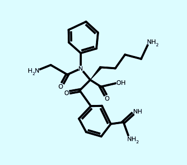 N=C(N)c1cccc(C(=O)[C@@](CCCCN)(C(=O)O)N(C(=O)CN)c2ccccc2)c1